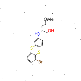 COCC[C@H](CO)Nc1ccc2c(c1)Sc1cccc(Br)c1S2